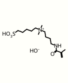 C=C(C)C(=O)NCCCC[N+](C)(C)CCCCCS(=O)(=O)O.[OH-]